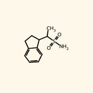 CC(C1CCc2ccccc21)S(N)(=O)=O